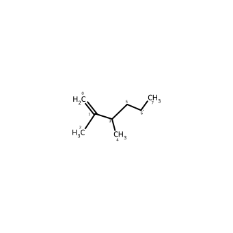 C=C(C)C(C)C[CH]C